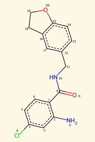 Nc1cc(Cl)ccc1C(=O)NCc1ccc2c(c1)CCO2